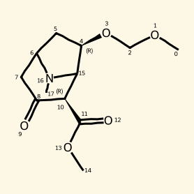 COCO[C@@H]1CC2CC(=O)[C@H](C(=O)OC)C1N2C